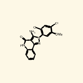 COc1cc(-n2nc3c(c2N)c(=O)[nH]c2ccccc23)c(Cl)cc1Cl